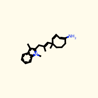 C/C(=C\C1(C)/C=C\C=C(/N)CCC1)Cc1c(C)c2ccccc2n1C